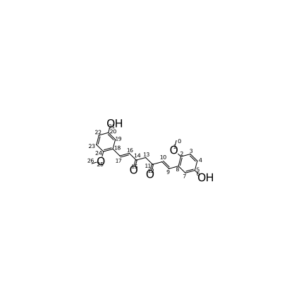 COc1ccc(O)cc1C=CC(=O)CC(=O)C=Cc1cc(O)ccc1OC